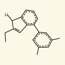 [Li][CH]1C(CC)=Cc2c(-c3cc(C)cc(C)c3)cccc21